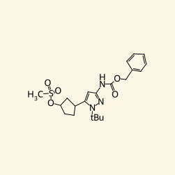 CC(C)(C)n1nc(NC(=O)OCc2ccccc2)cc1C1CCC(OS(C)(=O)=O)C1